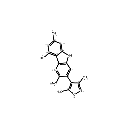 COc1nc2c(cc1-c1c(C)noc1C)[nH]c1nc(C)nc(O)c12